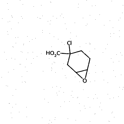 O=C(O)C1(Cl)CCC2OC2C1